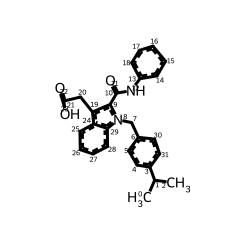 CC(C)c1ccc(Cn2c(C(=O)Nc3ccccc3)c(CC(=O)O)c3ccccc32)cc1